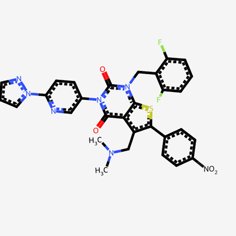 CN(C)Cc1c(-c2ccc([N+](=O)[O-])cc2)sc2c1c(=O)n(-c1ccc(-n3cccn3)nc1)c(=O)n2Cc1c(F)cccc1F